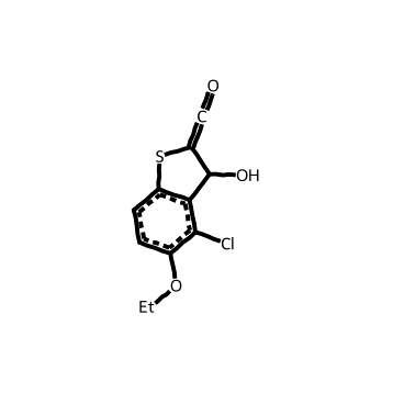 CCOc1ccc2c(c1Cl)C(O)C(=C=O)S2